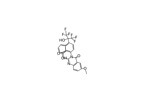 COc1ccc2nc(Cc3ccccc3)n(-c3ccc(C(O)(C(F)(F)F)C(F)(F)F)cc3C(=O)O)c(=O)c2c1